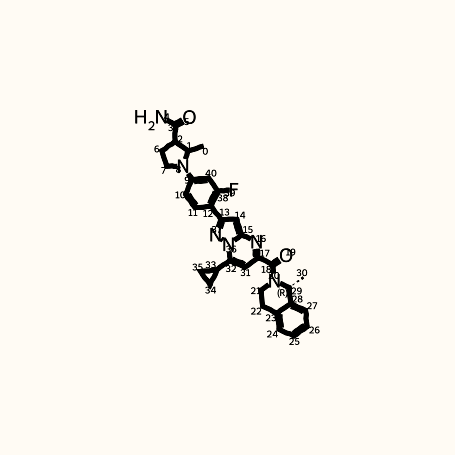 CC1C(C(N)=O)CCN1c1ccc(-c2cc3nc(C(=O)N4CCc5ccccc5[C@H]4C)cc(C4CC4)n3n2)c(F)c1